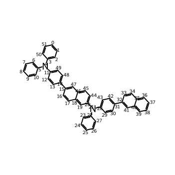 c1ccc(N(c2ccccc2)c2ccc(-c3ccc4cc(N(c5ccccc5)c5ccc(-c6ccc7ccccc7c6)cc5)ccc4c3)cc2)cc1